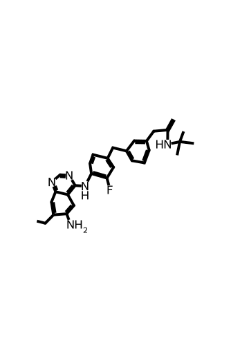 C=C(Cc1cccc(Cc2ccc(Nc3ncnc4cc(CC)c(N)cc34)c(F)c2)c1)NC(C)(C)C